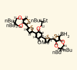 Bc1sc(-c2ccc(-c3cc(OCC(CC)CCCC)c(-c4ccc(-c5scc6c5OCC(CCCC)(CCCC)CO6)s4)cc3OC)s2)c2c1OCC(CCCC)(CCCC)CO2